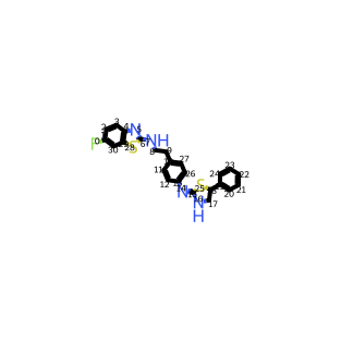 Fc1ccc2nc(NCCc3ccc(/N=C4/NCC(c5ccccc5)S4)cc3)sc2c1